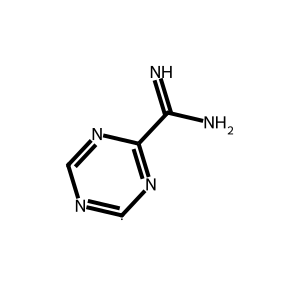 N=C(N)c1n[c]ncn1